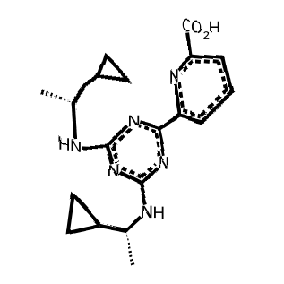 C[C@@H](Nc1nc(N[C@H](C)C2CC2)nc(-c2cccc(C(=O)O)n2)n1)C1CC1